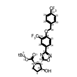 CC(C)(C)OC(=O)N1CC[C@H](O)[C@H]1c1nc(-c2ccc(OCc3ccc(C(F)(F)F)cc3)c(C(F)(F)F)c2)no1